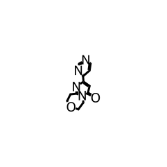 O=c1cc(-c2ccncn2)nc2n1CCOCC2